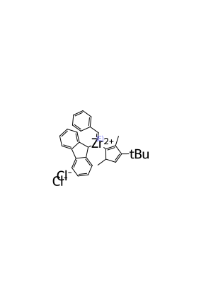 CC1=[C](/[Zr+2](=[CH]/c2ccccc2)[CH]2c3ccccc3-c3ccccc32)C(C)C=C1C(C)(C)C.[Cl-].[Cl-]